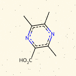 Cc1nc(C)c(C(=O)O)nc1C